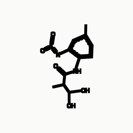 Cc1ccc(NC(=O)C(C)C(O)O)c(N=S(=O)=O)c1